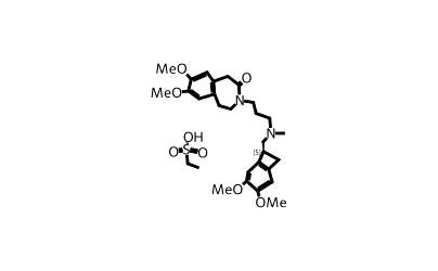 CCS(=O)(=O)O.COc1cc2c(cc1OC)CC(=O)N(CCCN(C)C[C@H]1Cc3cc(OC)c(OC)cc31)CC2